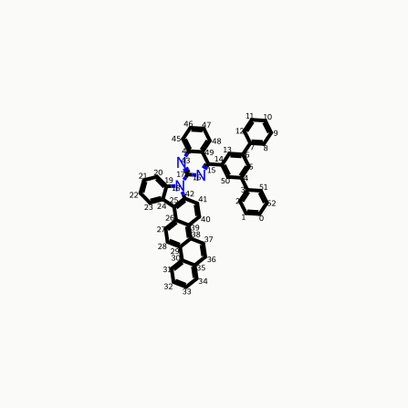 c1ccc(-c2cc(-c3ccccc3)cc(-c3nc(-n4c5ccccc5c5c6ccc7c8ccccc8ccc7c6ccc54)nc4ccccc34)c2)cc1